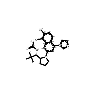 CC(C)(C)[C@H](OC(N)=O)C1CCCN1c1cc(-n2ccnc2)c2ccc(Cl)c(Cl)c2n1